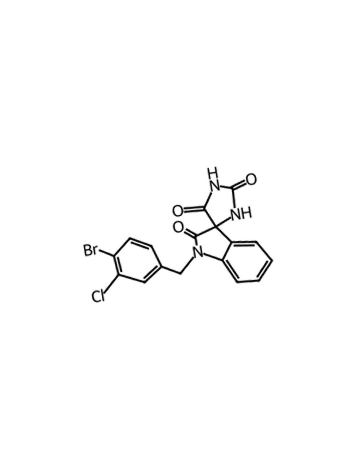 O=C1NC(=O)C2(N1)C(=O)N(Cc1ccc(Br)c(Cl)c1)c1ccccc12